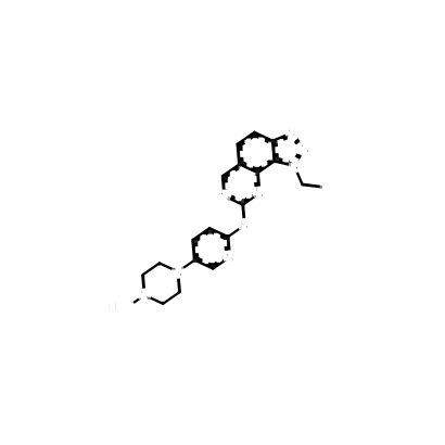 CC(C)Cn1nnc2ccc3cnc(Nc4ccc(N5CCN(C)CC5)cn4)nc3c21